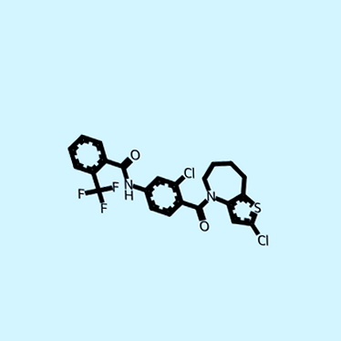 O=C(Nc1ccc(C(=O)N2CCCCc3sc(Cl)cc32)c(Cl)c1)c1ccccc1C(F)(F)F